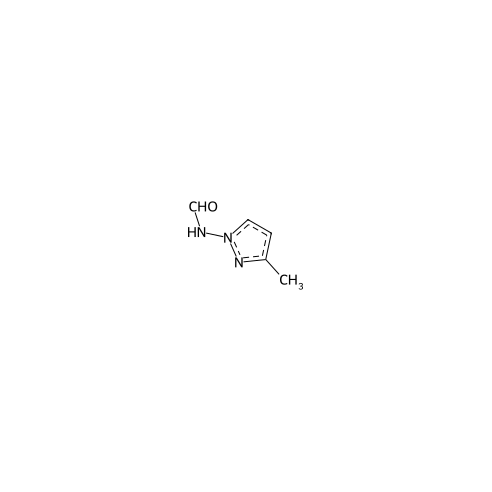 Cc1ccn(NC=O)n1